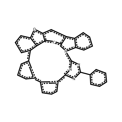 c1ccc(-c2nc3nc(n2)n2c4ccccc4c4cc5oc6cccc(c7cccc(c7)c7cccc3c7)c6c5cc42)cc1